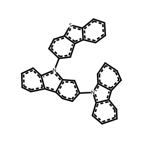 c1ccc2c(c1)sc1ccc(-n3c4ccccc4c4ccc(-n5c6ccccc6c6ccccc65)cc43)cc12